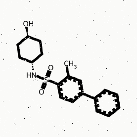 Cc1cc(-c2ccccc2)ccc1S(=O)(=O)N[C@H]1CC[C@H](O)CC1